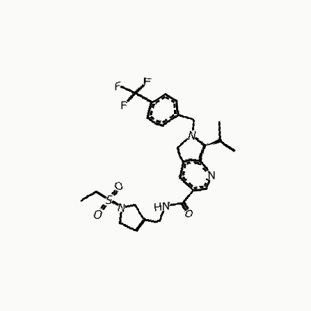 CCS(=O)(=O)N1CCC(CNC(=O)c2cnc3c(c2)CN(Cc2ccc(C(F)(F)F)cc2)[C@H]3C(C)C)C1